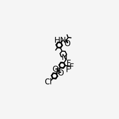 Cc1ccc(NC(=O)C(C)C)cc1C1CCN(Cc2ccc(S(=O)(=O)c3ccc(Cl)cc3)cc2C(F)(F)F)CC1